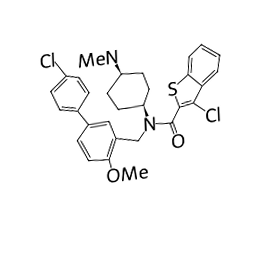 CN[C@H]1CC[C@@H](N(Cc2cc(-c3ccc(Cl)cc3)ccc2OC)C(=O)c2sc3ccccc3c2Cl)CC1